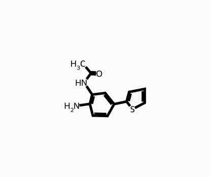 CC(=O)Nc1cc(-c2cccs2)ccc1N